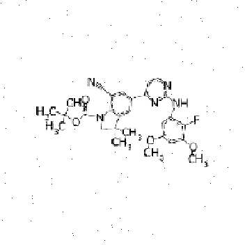 COc1cc(Nc2nccc(-c3cc(C#N)c4c(c3)C(C)(C)CN4C(=O)OC(C)(C)C)n2)c(F)c(OC)c1